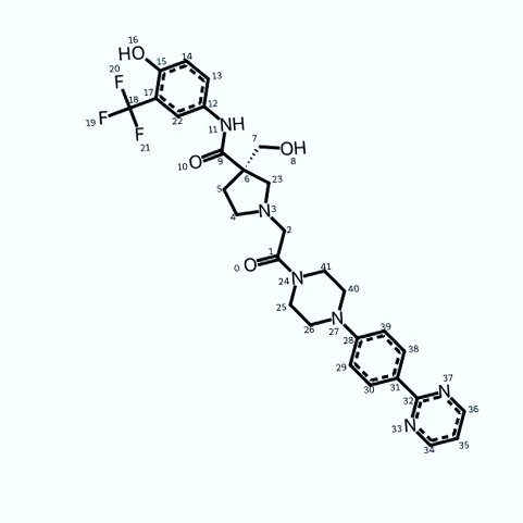 O=C(CN1CC[C@@](CO)(C(=O)Nc2ccc(O)c(C(F)(F)F)c2)C1)N1CCN(c2ccc(-c3ncccn3)cc2)CC1